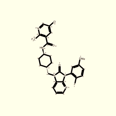 COc1ccc(F)c(-n2c(=O)n(C[C@H]3CC[C@H](NC(=O)c4cc(Cl)cnc4C(F)(F)F)CC3)c3cccnc32)c1